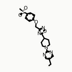 CCc1cnc(N2CCC(c3nc(COc4ccc(S(C)(=O)=O)cc4)no3)CC2)nc1